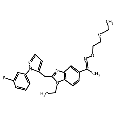 CCOCCON=C(C)c1ccc2c(c1)nc(Cc1ccnn1-c1cccc(F)c1)n2CC